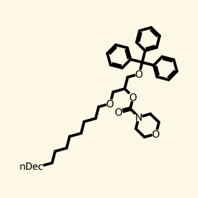 CCCCCCCCCCCCCCCCCCOCC(COC(c1ccccc1)(c1ccccc1)c1ccccc1)OC(=O)N1CCOCC1